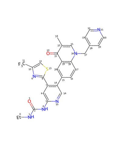 CCNC(=O)Nc1cc(-c2nc(C(F)(F)F)cs2)c(-c2ccc3c(c2)c(=O)c(C)cn3Cc2ccncc2)cn1